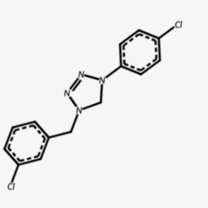 Clc1ccc(N2CN(Cc3cccc(Cl)c3)N=N2)cc1